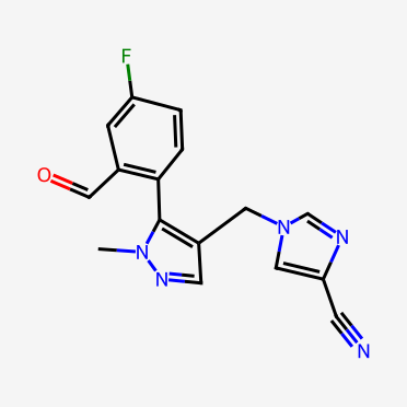 Cn1ncc(Cn2cnc(C#N)c2)c1-c1ccc(F)cc1C=O